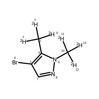 [2H]C([2H])([2H])c1c(Br)cnn1C([2H])([2H])[2H]